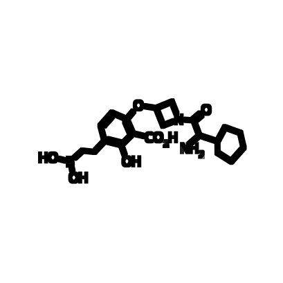 NC(C(=O)N1CC(Oc2ccc(CCB(O)O)c(O)c2C(=O)O)C1)C1CCCCC1